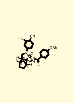 COc1ccc(C(=O)NC[C@@]23[C@@H]4CC[C@@H](C4)[C@@H]2CN(c2ccc(C#N)c(C(F)(F)F)c2)S3(=O)=O)cc1